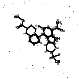 CC(C)(C)OC(=O)N1CCc2c(cccc2-c2c(F)cc(C(N)=O)c3[nH]c4c(c23)CC[C@H](C(C)(C)O)C4)C1